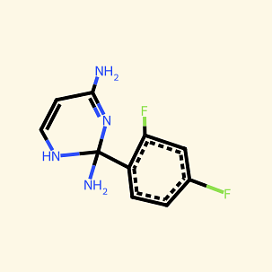 NC1=NC(N)(c2ccc(F)cc2F)NC=C1